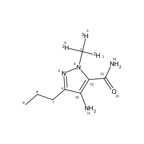 [2H]C([2H])([2H])n1nc(CCC)c(N)c1C(N)=O